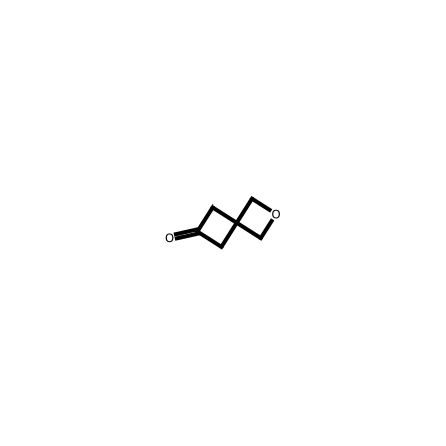 O=C1[CH]C2(COC2)C1